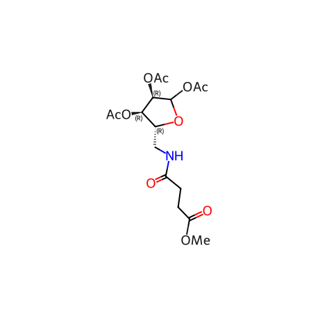 COC(=O)CCC(=O)NC[C@H]1OC(OC(C)=O)[C@H](OC(C)=O)[C@@H]1OC(C)=O